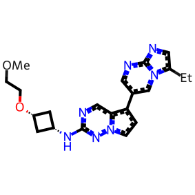 CCc1cnc2ncc(-c3ccn4nc(N[C@H]5C[C@@H](OCCOC)C5)ncc34)cn12